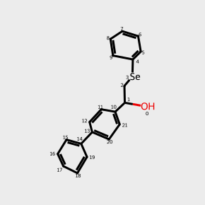 OC(C[Se]c1ccccc1)c1ccc(-c2ccccc2)cc1